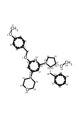 COc1ccc(COc2cc(N3CCOCC3)cc(N3CC[C@H](OC)[C@@H]3Cc3ccccc3)n2)cc1